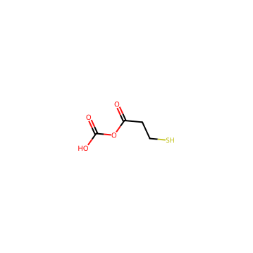 O=C(O)OC(=O)CCS